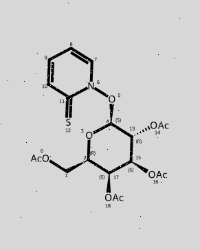 CC(=O)OC[C@H]1O[C@@H](On2ccccc2=S)[C@H](OC(C)=O)[C@@H](OC(C)=O)[C@H]1OC(C)=O